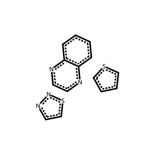 c1ccc2nccnc2c1.c1ccsc1.c1csnn1